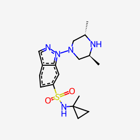 C[C@H]1CN(n2ncc3ccc(S(=O)(=O)NC4(C)CC4)cc32)C[C@H](C)N1